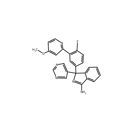 COc1ccnc(-c2cc(C3(c4cncnc4)N=C(N)c4ccccc43)ccc2F)c1